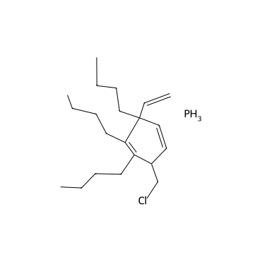 C=CC1(CCCC)C=CC(CCl)C(CCCC)=C1CCCC.P